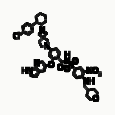 O=C(NS(=O)(=O)c1ccc(NCC2CCOCC2)c([N+](=O)[O-])c1)c1ccc(N2CCC3(C2)CN(C2CCCC=C2c2ccc(Cl)cc2)C3)cc1Oc1cnc2[nH]ccc2c1